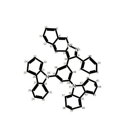 c1ccc(-c2nn3cc4ccccc4cc3c2-c2cc(-n3c4ccccc4c4ccccc43)cc(-n3c4ccccc4c4ccccc43)c2)cc1